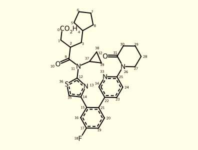 O=C(O)CC(CC1CCCC1)C(=O)N(c1nc(-c2cc(F)ccc2-c2ccc(N3CCCCC3=O)nc2)cs1)C1CC1